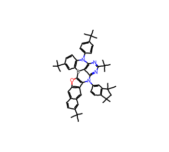 CC(C)(C)c1ccc(N2c3ccc(C(C)(C)C)cc3B3c4oc5cc6ccc(C(C)(C)C)cc6cc5c4N(c4ccc5c(c4)C(C)(C)CC5(C)C)c4nc(C(C)(C)C)nc2c43)cc1